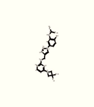 Fc1ccc(-n2cc(COc3nccc(N4CC(F)(F)C4)n3)nn2)cc1OC(F)F